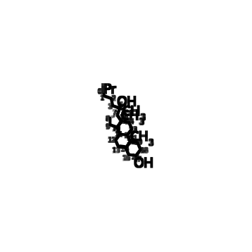 CC(C)CCC[C@](C)(O)[C@H]1CCC2C3CC=C4C[C@@H](O)CC[C@]4(C)C3CC[C@@]21C